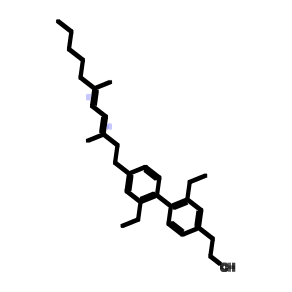 CCCCC/C(C)=C/C=C(\C)CCc1ccc(-c2ccc(CCO)cc2CC)c(CC)c1